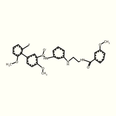 COc1cccc(C(=O)NCCNc2cccc(N[S+]([O-])c3cc(-c4c(F)cccc4OC)ccc3OC)c2)c1